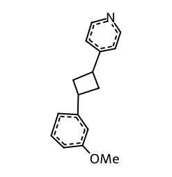 COc1cccc(C2CC(c3ccncc3)C2)c1